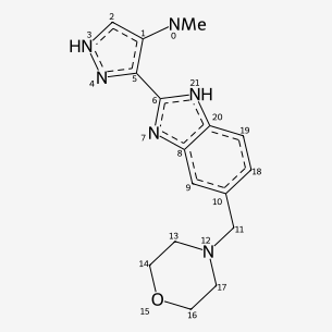 CNc1c[nH]nc1-c1nc2cc(CN3CCOCC3)ccc2[nH]1